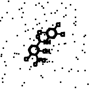 O=C(Nc1cc(Cl)c(Cl)cc1Cl)c1ccc(Cl)c([N+](=O)[O-])c1O